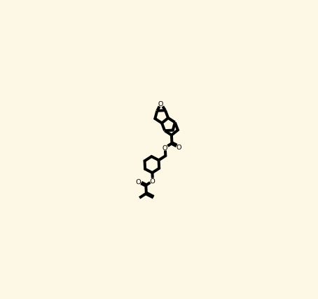 C=C(C)C(=O)OC1CCCC(COC(=O)C2CC3CC2C2CC4OC4C32)C1